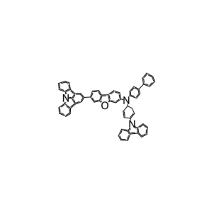 C1=CC(N(c2ccc(-c3ccccc3)cc2)c2ccc3c(c2)oc2cc(-c4cc5c6ccccc6n6c7ccccc7c(c4)c56)ccc23)CC=C1n1c2ccccc2c2ccccc21